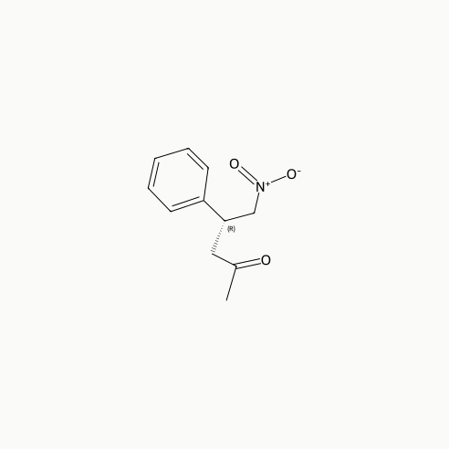 CC(=O)C[C@@H](C[N+](=O)[O-])c1ccccc1